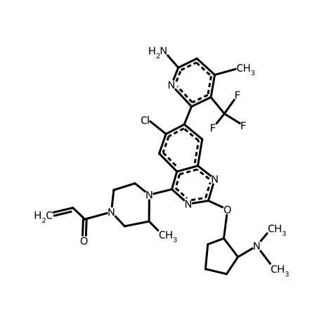 C=CC(=O)N1CCN(c2nc(OC3CCCC3N(C)C)nc3cc(-c4nc(N)cc(C)c4C(F)(F)F)c(Cl)cc23)C(C)C1